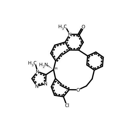 Cn1cnnc1[C@]1(N)c2ccc(Cl)c(c2)OCCc2cccc(c2)-c2cc(=O)n(C)c3ccc1cc23